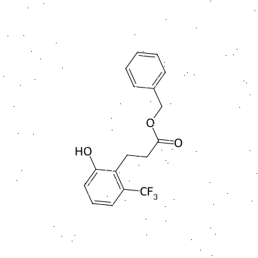 O=C(CCc1c(O)cccc1C(F)(F)F)OCc1ccccc1